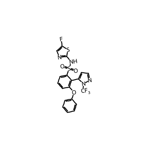 O=S(=O)(Nc1ncc(F)s1)c1cccc(Oc2ccccc2)c1-c1ccnn1C(F)(F)F